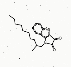 CCCCCCCCC(C)CN1C(=O)C(=O)c2sc3ccccc3c21